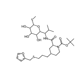 CSC1OC(C(NC(=O)C2CC(CCCSCc3ccco3)CCN2C(=O)OC(C)(C)C)C(C)C)C(O)C(O)C1O